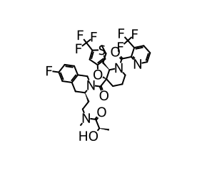 CCC[C@H]1N(C(=O)c2ncccc2C(F)(F)F)CCC[C@]1(Oc1csc(C(F)(F)F)c1)C(=O)N1Cc2ccc(F)cc2C[C@@H]1CCN(C)C(=O)[C@@H](C)O